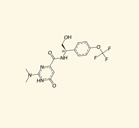 CN(C)c1nc(C(=O)N[C@@H](CO)c2ccc(OC(F)(F)F)cc2)cc(=O)[nH]1